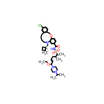 CCO[C@@H](/C=C/C[C@H](C)[C@@H](C)S(=O)(=O)NC(=O)c1ccc2c(c1)N(C[C@@H]1CC[C@H]1C)CCCCc1cc(Cl)ccc1CO2)N1CCN(C(C)C)CC1